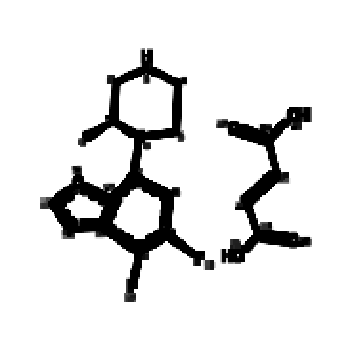 C[C@H]1CNCCN1c1cc(F)c(F)c2ccoc12.O=C(O)/C=C/C(=O)O